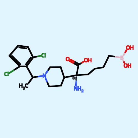 CC(c1c(Cl)cccc1Cl)N1CCC([C@](N)(CCCCB(O)O)C(=O)O)CC1